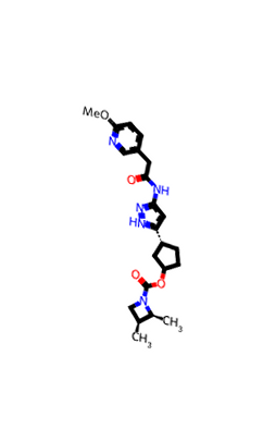 COc1ccc(CC(=O)Nc2cc([C@@H]3CCC(OC(=O)N4C[C@H](C)[C@@H]4C)C3)[nH]n2)cn1